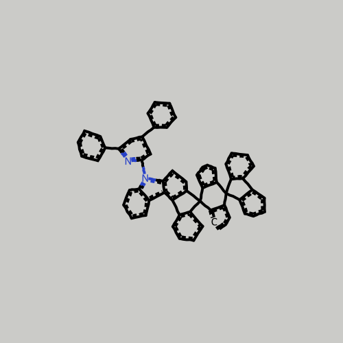 c1ccc(-c2cc(-c3ccccc3)nc(-n3c4ccccc4c4c5c(ccc43)C3(c4ccccc4-5)c4ccccc4C4(c5ccccc5-c5ccccc54)c4ccccc43)c2)cc1